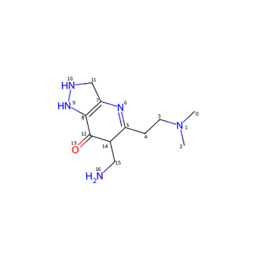 CN(C)CCC1=NC2=C(NNC2)C(=O)C1CN